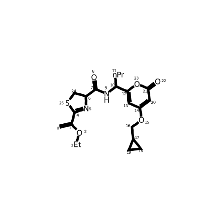 C=C(OCC)C1=NC(C(=O)NC(CCC)c2cc(OCC3CC3)cc(=O)o2)CS1